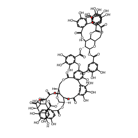 O=C1O[C@H]2[C@@H]3OC(=O)c4cc(c(O)c(O)c4O)-c4c(cc(Oc5c(C(=O)O[C@H]6[C@H](OC(=O)c7cc(O)c(O)c(O)c7)OC7COC(=O)c8cc(O)c(O)c(O)c8-c8c(cc(O)c(O)c8O)C(=O)O[C@H]6C7OC(=O)c6cc(O)c(O)c(O)c6)cc(O)c(O)c5O)c(O)c4O)C(=O)OC[C@H]2O[C@@H](OC(=O)c2cc(O)c(O)c(O)c2)[C@@H]3OC(=O)c2cc(O)c(O)c3c2[C@@H]2C1=CC(=O)[C@@](O)(O3)C2(O)O